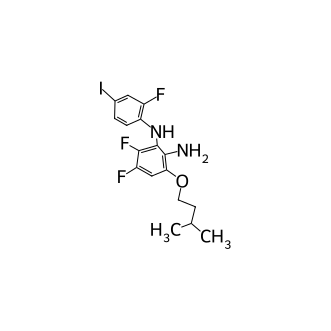 CC(C)CCOc1cc(F)c(F)c(Nc2ccc(I)cc2F)c1N